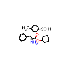 Cc1ccc(S(=O)(=O)O)cc1.N[C@@H](Cc1ccccc1)C(=O)OC1CCCCC1